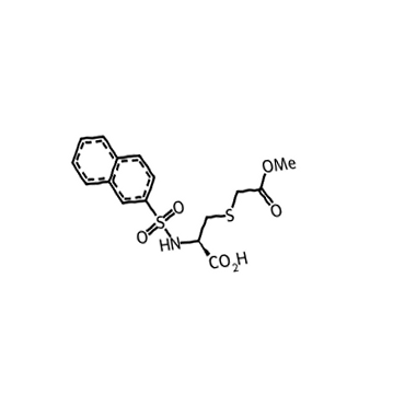 COC(=O)CSC[C@H](NS(=O)(=O)c1ccc2ccccc2c1)C(=O)O